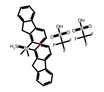 O=S(=O)(O)C(F)(F)F.O=S(=O)(O)C(F)(F)F.[CH3][Zr]([CH3])(=[SiH2])([c]1cccc2c1Cc1ccccc1-2)[c]1cccc2c1Cc1ccccc1-2